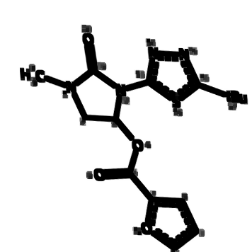 CN1CC(OC(=O)c2ccco2)N(c2nnc(C(C)(C)C)s2)C1=O